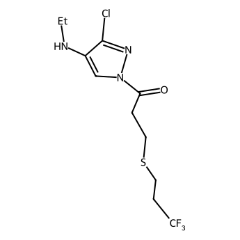 CCNc1cn(C(=O)CCSCCC(F)(F)F)nc1Cl